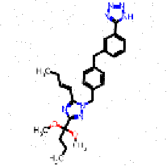 CC/C=C/c1nc(C(CCC)(OC)OC)nn1Cc1ccc(Cc2cccc(-c3nnn[nH]3)c2)cc1